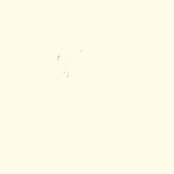 CCOC(=O)[C@H](Cc1ccccc1)N(C/C=C/c1ccccc1)Cc1ccccc1